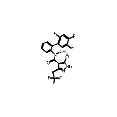 CN(C(=O)c1c(CC(F)(F)F)n[nH]c1Cl)c1ccccc1-c1cc(F)c(F)cc1F